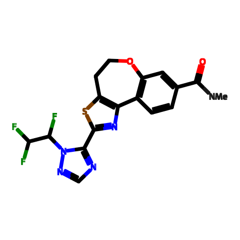 CNC(=O)c1ccc2c(c1)OCCc1sc(-c3ncnn3C(F)C(F)F)nc1-2